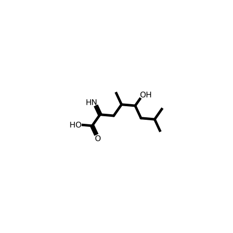 CC(C)CC(O)C(C)CC(=N)C(=O)O